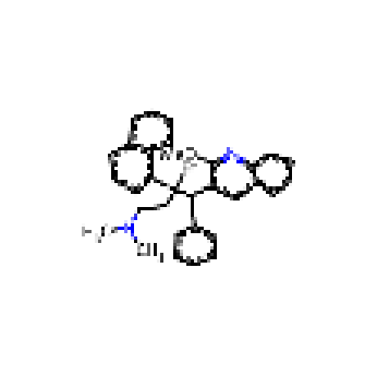 CCC(CCN(C)C)(c1cccc2ccccc12)C(c1ccccc1)c1cc2ccccc2nc1OC